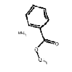 B.COC(=O)c1ccccc1